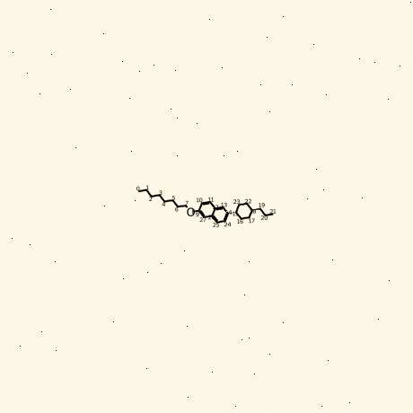 CCCCCCCCOc1ccc2cc([C@H]3CC[C@H](CCC)CC3)ccc2c1